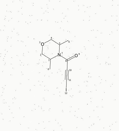 CC1COCC(C)N1C(=O)C#CI